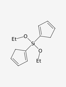 CCO[Si](OCC)(C1=CC=CC1)C1=CC=CC1